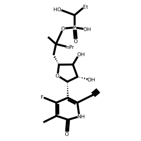 C#Cc1[nH]c(=O)c(C)c(F)c1[C@@H]1O[C@H](CC(C)(CCC)OP(=O)(O)C(O)CC)C(O)[C@@H]1O